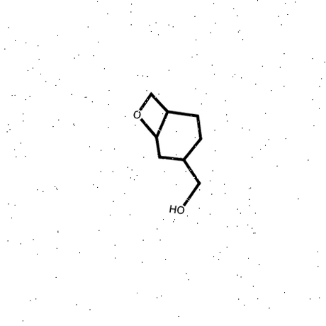 OCC1CCC2COC2C1